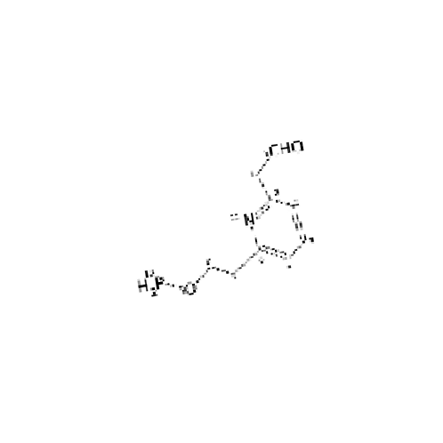 O=CCc1cccc(CCOP)n1